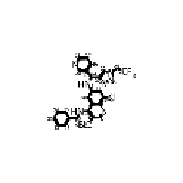 CC[C@@H](Nc1c(C#N)cnc2c(Cl)cc(N[C@@H](c3cccnc3)c3cn(CC(F)(F)F)nn3)cc12)c1ccccc1